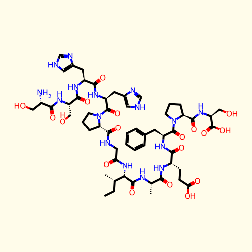 CC[C@H](C)[C@H](NC(=O)CNC(=O)[C@@H]1CCCN1C(=O)[C@H](Cc1c[nH]cn1)NC(=O)[C@H](Cc1c[nH]cn1)NC(=O)[C@H](CO)NC(=O)[C@@H](N)CO)C(=O)N[C@@H](C)C(=O)N[C@@H](CCC(=O)O)C(=O)N[C@@H](Cc1ccccc1)C(=O)N1CCC[C@H]1C(=O)N[C@@H](CO)C(=O)O